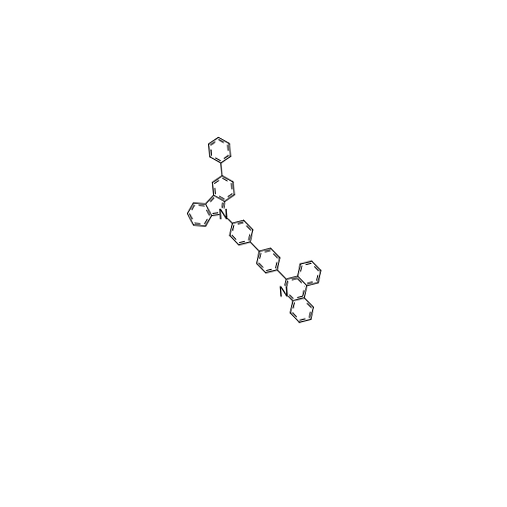 c1ccc(-c2ccc3c(c2)c2ccccc2n3-c2ccc(-c3ccc(-c4nc5ccccc5c5ccccc45)cc3)cc2)cc1